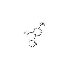 Cc1ccc(C2=NCCC2)c(C)c1